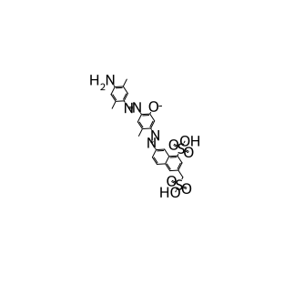 COc1cc(N=Nc2ccc3cc(CS(=O)(=O)O)cc(S(=O)(=O)O)c3c2)c(C)cc1N=Nc1cc(C)c(N)cc1C